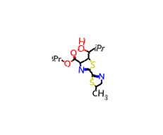 CC(C)OC(=O)C1N=C(C2=NCC(C)S2)SC1C(O)C(C)C